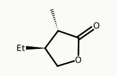 CC[C@@H]1COC(=O)[C@H]1C